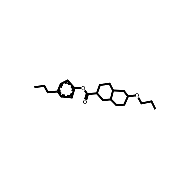 CCCOC1CCC2CC(C(=O)Oc3ccc(CCC)cc3)CCC2C1